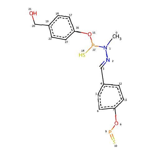 CN(/N=C/c1ccc(OP=S)cc1)P(S)Oc1ccc(CO)cc1